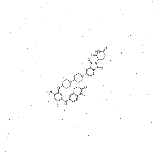 CN1C(=O)CCc2cc(Nc3cc(OC4CCN(C5CCN(c6ccc7c(c6)C(=O)N(C6CCC(=O)NC6=O)C7=O)CC5)CC4)c([N+](=O)[O-])cc3Cl)ccc21